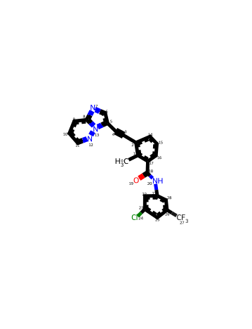 Cc1c(C#Cc2cnc3cccnn23)cccc1C(=O)Nc1cc(Cl)cc(C(F)(F)F)c1